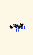 CN(CCc1ccccn1)c1ccc(N/C=C2\C(=O)Nc3cc(F)ccc32)cc1